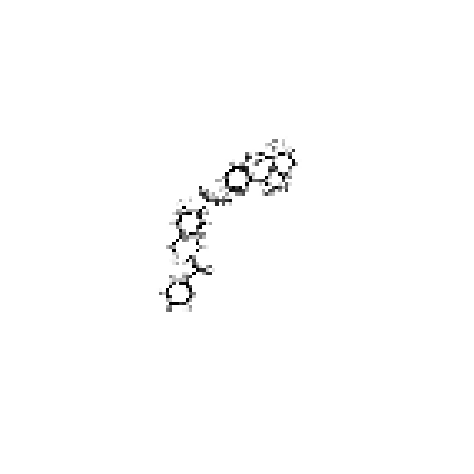 CC1(C)CCc2nnc(-c3cccc(NC(=O)c4cc5c(cc4F)CCN(C(=O)c4ccccn4)C5)n3)n21